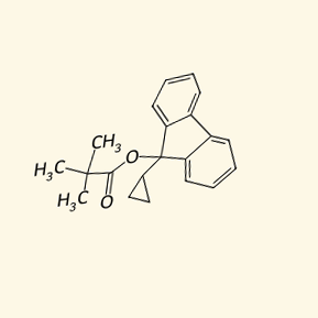 CC(C)(C)C(=O)OC1(C2CC2)c2ccccc2-c2ccccc21